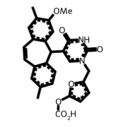 COc1cc2c(cc1C)C=Cc1cc(C)ccc1C2c1cn(Cc2ccc(OC(=O)O)o2)c(=O)[nH]c1=O